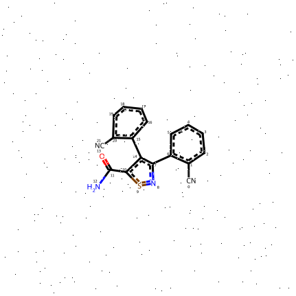 N#Cc1ccccc1-c1nsc(C(N)=O)c1-c1ccccc1C#N